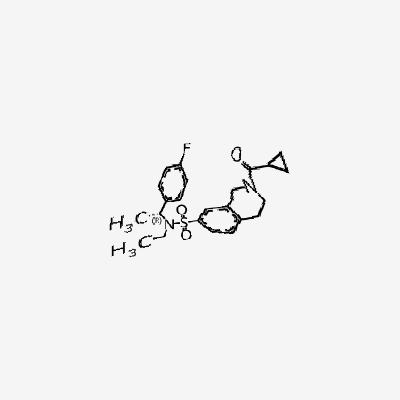 CCN([C@H](C)c1ccc(F)cc1)S(=O)(=O)c1ccc2c(c1)CN(C(=O)C1CC1)CC2